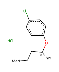 CCC[C@H](CCNC)Oc1ccc(Cl)cc1.Cl